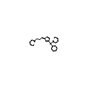 OC(C1=C/C(=C\CCc2ccccn2)C=C1)(c1ccccc1)c1ccccn1